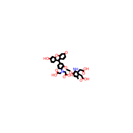 Cc1cc(OCCOc2cc(-c3c4ccc(=O)cc-4oc4cc(O)ccc34)ccc2N(CC(=O)O)CC(=O)O)c(N)c(CC(=O)O)c1CC(=O)O